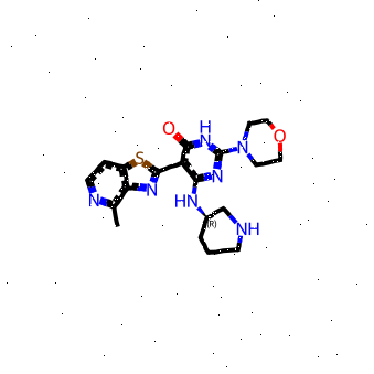 Cc1nccc2sc(-c3c(N[C@@H]4CCCNC4)nc(N4CCOCC4)[nH]c3=O)nc12